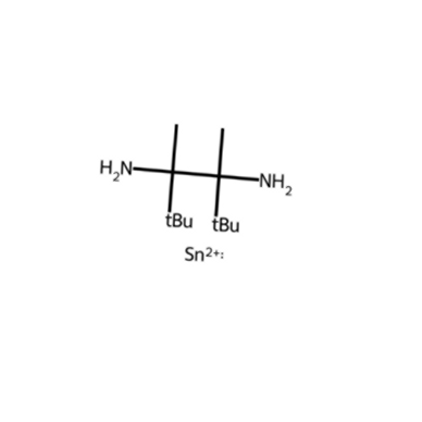 CC(C)(C)C(C)(N)C(C)(N)C(C)(C)C.[Sn+2]